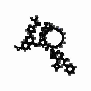 COc1ccc2c(O[C@@H]3C[C@H]4C(=O)N[C@]5(C(=O)O)CC5/C=C\CCCCC[C@H](NC(=O)NC(C(=O)N(C)Cc5ccccc5)C5CCC5)C(=O)N4C3)cc(-c3csc(NC(C)C)n3)nc2c1